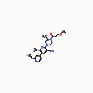 C=Cc1cc(-c2cc(C#N)c(N3CCN(C(=O)CCOC)[C@H](C)C3)nc2C2CC2)ccn1